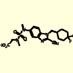 CN(CC(=O)O)S(=O)(=O)N(C)c1ccc2c(c1)nc(C(C)(C)C)n2CC1CCC(F)(F)CC1